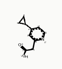 O=C(O)Cc1cc(C2CC2)ccn1